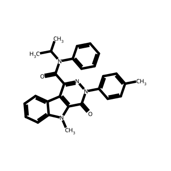 Cc1ccc(-n2nc(C(=O)N(c3ccccc3)C(C)C)c3c4ccccc4n(C)c3c2=O)cc1